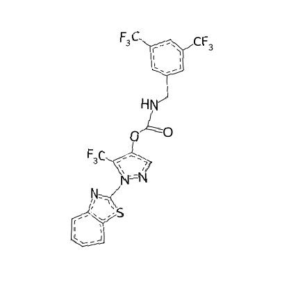 O=C(NCc1cc(C(F)(F)F)cc(C(F)(F)F)c1)Oc1cnn(-c2nc3ccccc3s2)c1C(F)(F)F